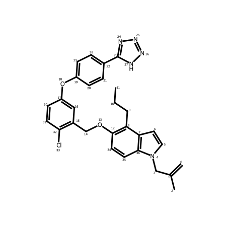 C=C(C)Cn1ccc2c(CCC)c(OCc3cc(Oc4ccc(-c5nnn[nH]5)cc4)ccc3Cl)ccc21